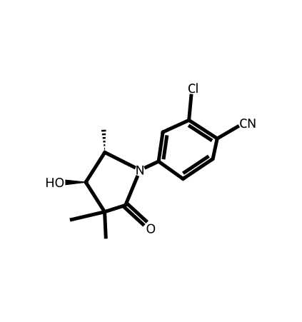 C[C@H]1[C@H](O)C(C)(C)C(=O)N1c1ccc(C#N)c(Cl)c1